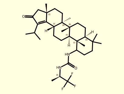 CC(C)C1=C2[C@H]3CC[C@@H]4[C@@]5(C)C(NC(=O)N[C@H](C)C(F)(F)F)CCC(C)(C)[C@@H]5CC[C@@]4(C)[C@]3(C)CC[C@@]2(C)CC1=O